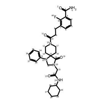 NC(=O)c1cccc(C[CH]C(=O)N2CCC3(CC2)C(=O)N(CC(=O)NC2CCCCC2)CN3c2ccccc2)c1F